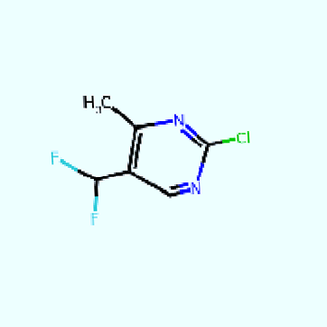 Cc1nc(Cl)ncc1C(F)F